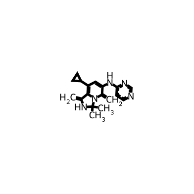 C=C1NC(C)(C)N2C(=C)C(Nc3ccncn3)=CC(C3CC3)=C12